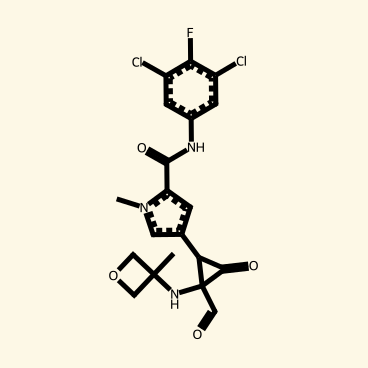 Cn1cc(C2C(=O)C2(C=O)NC2(C)COC2)cc1C(=O)Nc1cc(Cl)c(F)c(Cl)c1